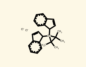 C[C]1(C)[C](C)(C)[Zr+2]1([CH]1C=Cc2ccccc21)[CH]1C=Cc2ccccc21.[Cl-].[Cl-]